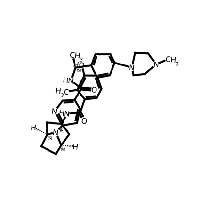 Cc1c(O)cccc1C(=O)N[C@H]1C[C@H]2CC[C@@H](C1)N2c1ccc(C(=O)N[C@@H](C)c2ccc(N3CCN(C)CC3)cc2)cn1